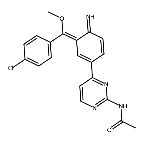 CO/C(=C1/C=C(c2ccnc(NC(C)=O)n2)C=CC1=N)c1ccc(Cl)cc1